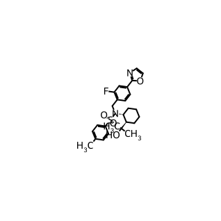 Cc1ccc(S(=O)(=O)N(Cc2ccc(-c3ncco3)cc2F)[C@@H]2CCCC[C@H]2C(C)(C)O)cc1